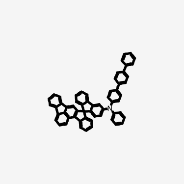 c1ccc(-c2ccc(-c3ccc(N(c4ccccc4)c4ccc5c(c4)-c4ccccc4C54c5ccccc5-c5c4cc4c6c(cccc56)-c5ccccc5-4)cc3)cc2)cc1